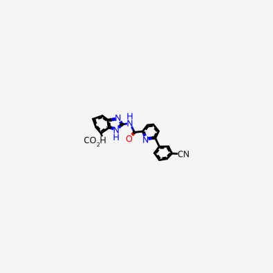 N#Cc1cccc(-c2cccc(C(=O)Nc3nc4cccc(C(=O)O)c4[nH]3)n2)c1